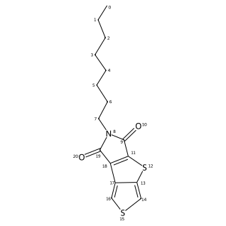 CCCCCCCCN1C(=O)c2sc3cscc3c2C1=O